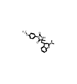 CN(C)c1cc(CC2(C)NC(=O)N(c3ccc(OC(F)(F)F)cc3)C2=O)c2ccccc2n1